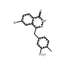 O=C(O)c1cc(Cc2n[nH]c(=O)c3ccc(Br)cc23)ccc1F